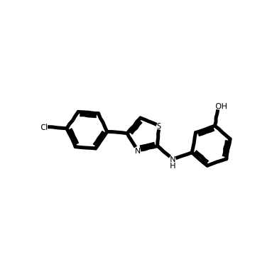 Oc1cccc(Nc2nc(-c3ccc(Cl)cc3)cs2)c1